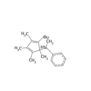 CC[C](C)C1=C(C)C(C)=C(C)C1(C)[SiH](C)c1ccccc1